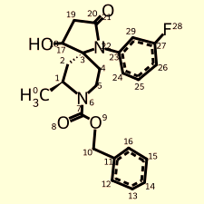 C[C@H]1C[C@]2(CCN1C(=O)OCc1ccccc1)C(O)CC(=O)N2c1cccc(F)c1